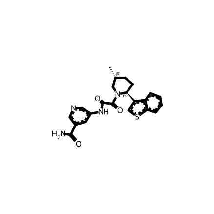 C[C@@H]1CC[C@@H](c2csc3ccccc23)N(C(=O)C(=O)Nc2cncc(C(N)=O)c2)C1